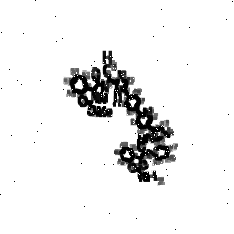 COC(=O)NC(C(=O)NC(C)c1ncc(-c2ccc(-c3ccc(-c4cnc([C@@H]5CCCN5C(=O)[C@H](OC(N)=O)c5ccccc5)[nH]4)cn3)cc2)[nH]1)c1ccccc1